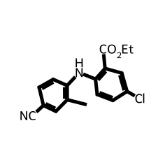 CCOC(=O)c1cc(Cl)ccc1Nc1ccc(C#N)cc1C